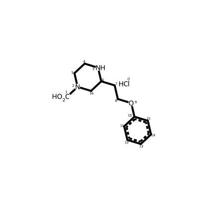 Cl.O=C(O)N1CCNC(CCOc2ccccc2)C1